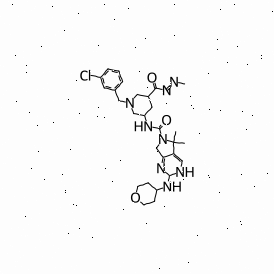 CN=NC(=O)C1CC(NC(=O)N2CC3=NC(NC4CCOCC4)NC=C3C2(C)C)CN(Cc2cccc(Cl)c2)C1